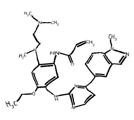 C=CC(=O)Nc1cc(Nc2nccc(-c3ccc4c(cnn4C)c3)n2)c(OCC)cc1N(C)CCN(C)C